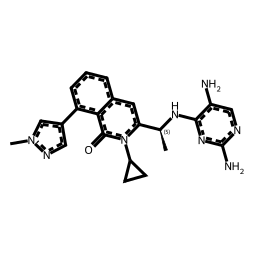 C[C@H](Nc1nc(N)ncc1N)c1cc2cccc(-c3cnn(C)c3)c2c(=O)n1C1CC1